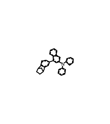 c1ccc(N(c2ccccc2)c2cc(-c3ccc4c(c3)C3CCC4C3)c3ccccc3c2)cc1